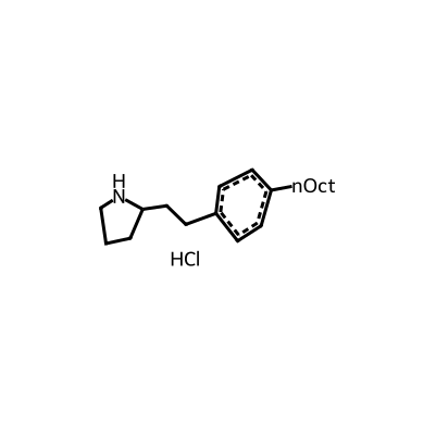 CCCCCCCCc1ccc(CCC2CCCN2)cc1.Cl